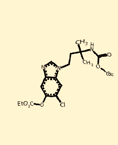 CCOC(=O)Oc1cc2ncn(CCC(C)(C)NC(=O)OC(C)(C)C)c2cc1Cl